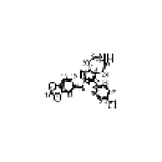 Clc1ccc(-c2c3c(nn2Cc2ccc4c(c2)OCO4)CCNCC3)cc1